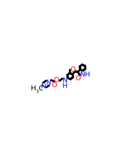 CN1CCN(CC(=O)OCCNc2ccc3c(c2)COC3=C2C(=O)Nc3ccccc32)CC1